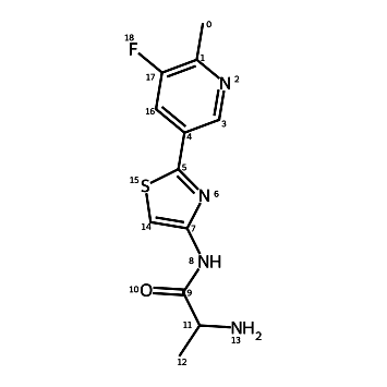 Cc1ncc(-c2nc(NC(=O)C(C)N)cs2)cc1F